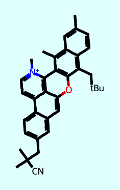 Cc1ccc2c(CC(C)(C)C)c3c(c(C)c2c1)-c1c2c(cc4cc(CC(C)(C)C#N)ccc4c2cc[n+]1C)O3